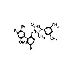 COc1cc(F)c(C(C)C)cc1-c1cc(F)ccc1CN1C(=O)OC(c2cc(C)cc(C)c2)C1C